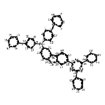 c1ccc(-c2ccc(N(c3ccc(-c4ccccc4)cc3)c3ccc4sc5cc(-c6nc(-c7ccccc7)nc(-c7ccccc7)n6)ccc5c4c3)cc2)cc1